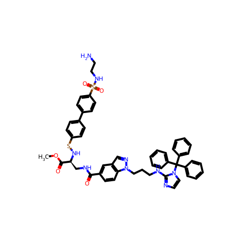 COC(=O)[C@H](CNC(=O)c1ccc2c(cnn2CCCNc2nccn2C(c2ccccc2)(c2ccccc2)c2ccccc2)c1)NSc1ccc(-c2ccc(S(=O)(=O)NCCN)cc2)cc1